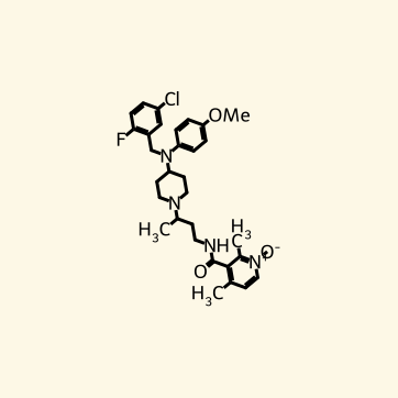 COc1ccc(N(Cc2cc(Cl)ccc2F)C2CCN(C(C)CCNC(=O)c3c(C)cc[n+]([O-])c3C)CC2)cc1